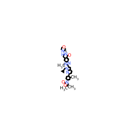 Cc1cc(N2CC(C)(C)OC2=O)ccc1-c1ccc2cc(-c3nc4cc5c(cc4n3C)CCN(C[C@H]3COCCN3)C5=O)n(CC3CC3)c2n1